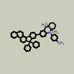 Cc1ccc(N2c3ccc(-c4ccc5c(c4)C(c4ccccc4)(c4ccccc4)c4ccc6c(ccc7ccccc76)c4-5)cc3CC3(C)CCCCC23C)cc1